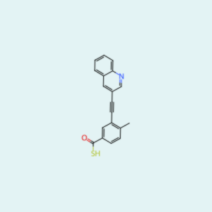 Cc1ccc(C(=O)S)cc1C#Cc1cnc2ccccc2c1